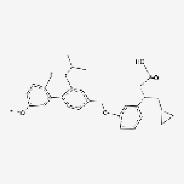 COc1ccc(F)c(-c2ccc(COc3cccc([C@H](CC(=O)O)CC4CC4)c3)cc2CC(C)C)c1